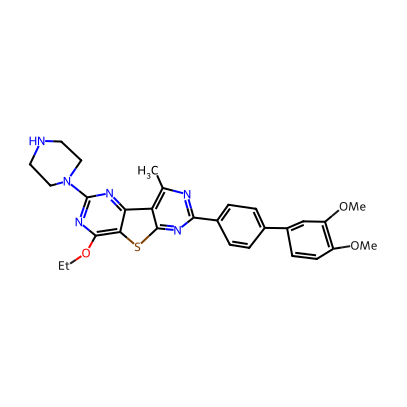 CCOc1nc(N2CCNCC2)nc2c1sc1nc(-c3ccc(-c4ccc(OC)c(OC)c4)cc3)nc(C)c12